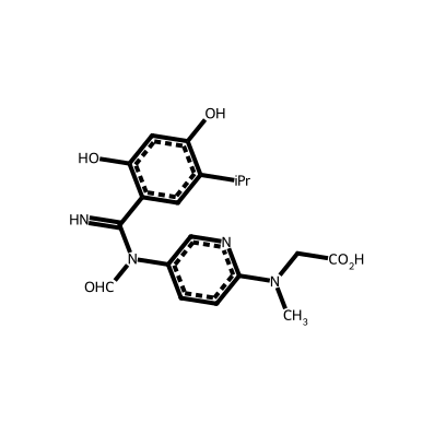 CC(C)c1cc(C(=N)N(C=O)c2ccc(N(C)CC(=O)O)nc2)c(O)cc1O